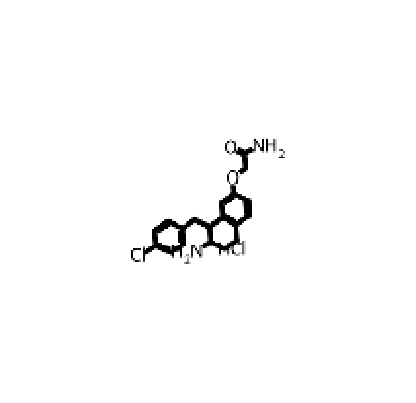 Cl.NC(=O)COc1ccc2c(c1)C(Cc1ccc(Cl)cc1)C(N)CC2